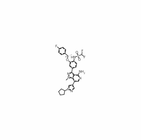 C[C@H](Oc1cc(-c2nn(C)c3c(-c4cnn(C5CCCC5)c4)cnc(N)c23)ccc1NS(=O)(=O)C(F)F)c1ccc(F)cc1